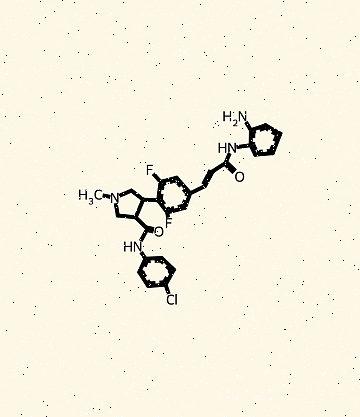 CN1CC(C(=O)Nc2ccc(Cl)cc2)C(c2c(F)cc(/C=C/C(=O)Nc3ccccc3N)cc2F)C1